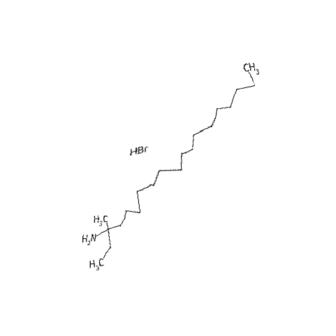 Br.CCCCCCCCCCCCCCCCC(C)(N)CC